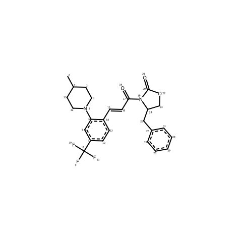 CC1CCN(c2cc(C(F)(F)F)ccc2/C=C/C(=O)N2C(=O)OCC2Cc2ccccc2)CC1